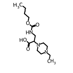 CCCCOC(=O)NCC(C(=O)O)N1CCN(CC)CC1